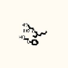 CCCCC(CC)COCC(O)CO.OCCOc1ccccc1